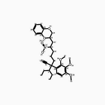 CCC(CC)C(C#N)(CCCC(CC1COc2ccccc2O1)[N+](=O)[O-])c1ccc(OC)c(OC)c1OC